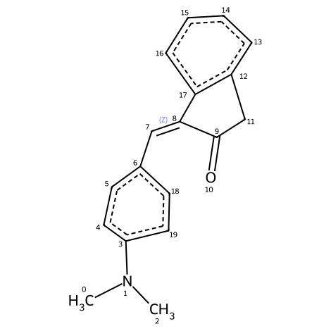 CN(C)c1ccc(/C=C2\C(=O)Cc3ccccc32)cc1